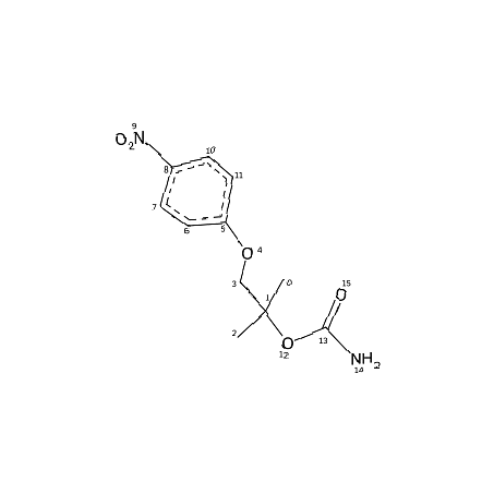 CC(C)(COc1ccc([N+](=O)[O-])cc1)OC(N)=O